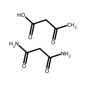 CC(=O)CC(=O)O.NC(=O)CC(N)=O